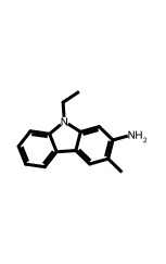 CCn1c2ccccc2c2cc(C)c(N)cc21